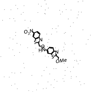 COCc1nc2ccc(NOCc3nc4ccc([N+](=O)[O-])cc4s3)cc2s1